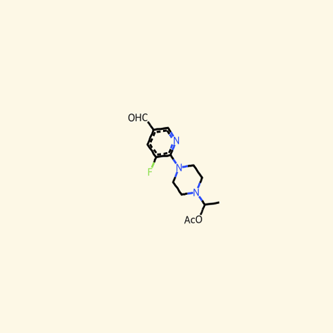 CC(=O)OC(C)N1CCN(c2ncc(C=O)cc2F)CC1